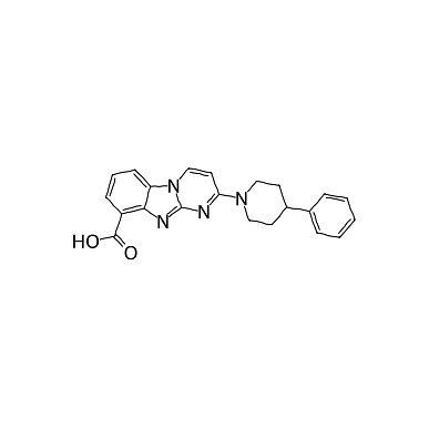 O=C(O)c1cccc2c1nc1nc(N3CCC(c4ccccc4)CC3)ccn12